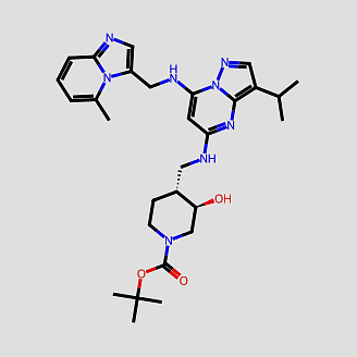 Cc1cccc2ncc(CNc3cc(NC[C@H]4CCN(C(=O)OC(C)(C)C)C[C@@H]4O)nc4c(C(C)C)cnn34)n12